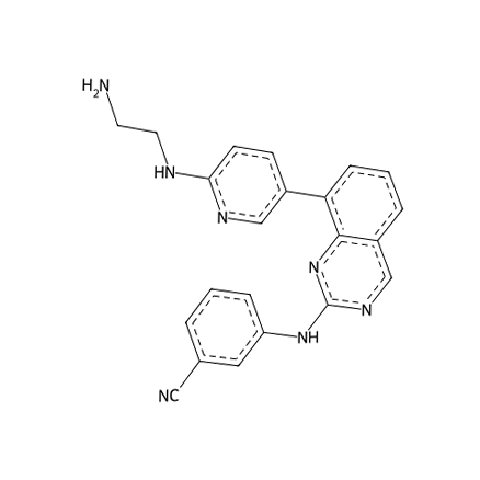 N#Cc1cccc(Nc2ncc3cccc(-c4ccc(NCCN)nc4)c3n2)c1